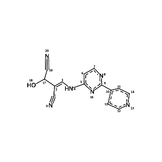 N#C/C(=C\Nc1ccnc(-c2ccncc2)n1)C(O)C#N